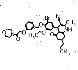 CCCC1CC(=O)C2=C(C1)NC(C)=C(C#N)C2c1cc(Br)c(OCc2cccc(OCC(=O)N3CCOCC3)c2)c(OCC)c1